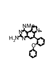 CNc1nc(N)nc2cc(-c3ccccc3Oc3ccccc3)c3c(ccn3C)c12